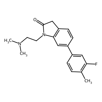 Cc1ccc(-c2ccc3c(c2)N(CCN(C)C)C(=O)C3)cc1F